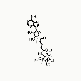 CCOP(=O)(OCC)C(NC(=O)CCNC(=O)[C@H]1O[C@@H](n2cnc3c(N)ncnc32)[C@H](O)[C@@H]1O)P(=O)(OCC)OCC